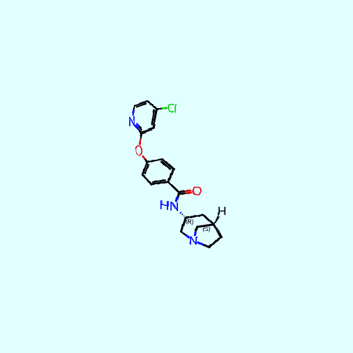 O=C(N[C@@H]1C[C@@H]2CCN(C2)C1)c1ccc(Oc2cc(Cl)ccn2)cc1